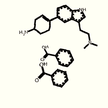 CN(C)CCc1c[nH]c2ccc(C3=CCC(N)CC3)cc12.O=C(O)c1ccccc1.O=C(O)c1ccccc1